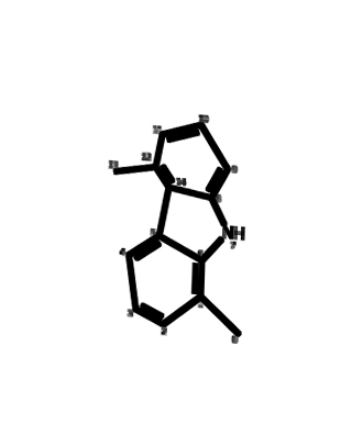 Cc1cccc2c1[nH]c1cccc(C)c12